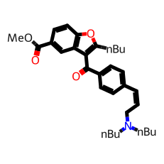 CCCCc1oc2ccc(C(=O)OC)cc2c1C(=O)c1ccc(/C=C\CN(CCCC)CCCC)cc1